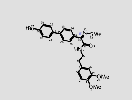 COc1ccc(CCNC(=O)/C(=N\SC)c2ccc(-c3ccc(C(C)(C)C)cc3)cc2)cc1OC